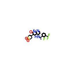 C[C@@H](Nc1ccnc2c1cc(C1=CCS(=O)(=O)CC1)c(=O)n2C)c1cccc(C(F)F)c1F